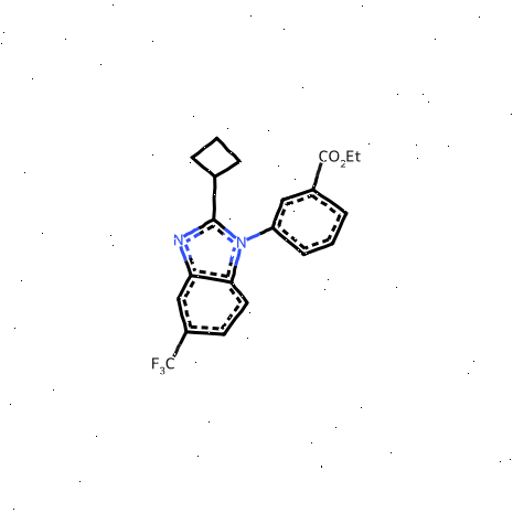 CCOC(=O)c1cccc(-n2c(C3CCC3)nc3cc(C(F)(F)F)ccc32)c1